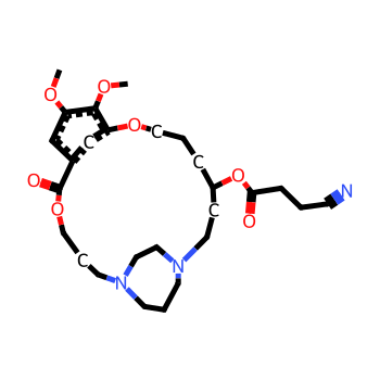 COc1cc2cc(c1OC)OCCCC(OC(=O)CCC#N)CCN1CCCN(CCCOC2=O)CC1